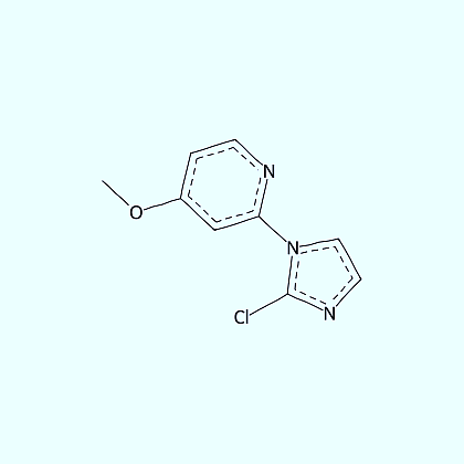 COc1ccnc(-n2ccnc2Cl)c1